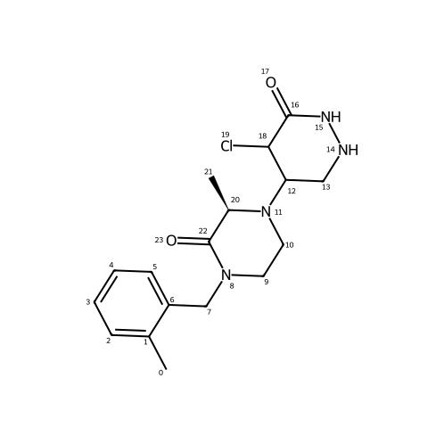 Cc1ccccc1CN1CCN(C2CNNC(=O)C2Cl)[C@H](C)C1=O